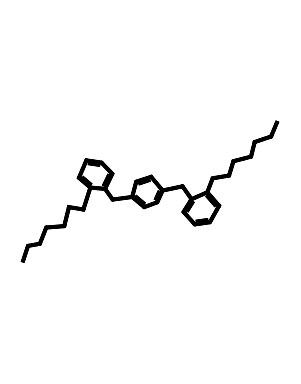 CCCCCCCc1ccccc1Cc1ccc(Cc2ccccc2CCCCCCC)cc1